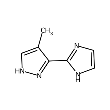 Cc1c[nH]nc1-c1ncc[nH]1